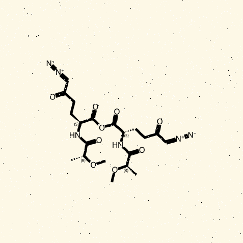 CO[C@H](C)C(=O)N[C@@H](CCC(=O)C=[N+]=[N-])C(=O)OC(=O)[C@H](CCC(=O)C=[N+]=[N-])NC(=O)[C@@H](C)OC